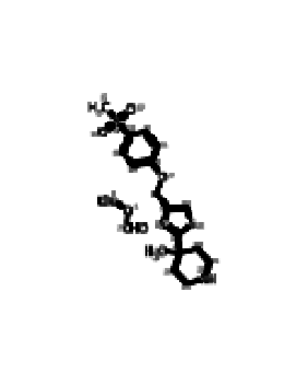 CC(C)(C)OC=O.CC1(c2nc(COc3ccc(S(C)(=O)=O)cc3)cs2)CCNCC1